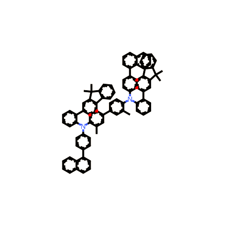 Cc1cc(-c2ccc(N(c3ccc(-c4cccc5ccccc45)cc3)c3ccccc3-c3ccc4c(c3)C(C)(C)c3ccccc3-4)c(C)c2)ccc1N(c1ccc(-c2cccc3ccccc23)cc1)c1ccccc1-c1ccc2c(c1)C(C)(C)c1ccccc1-2